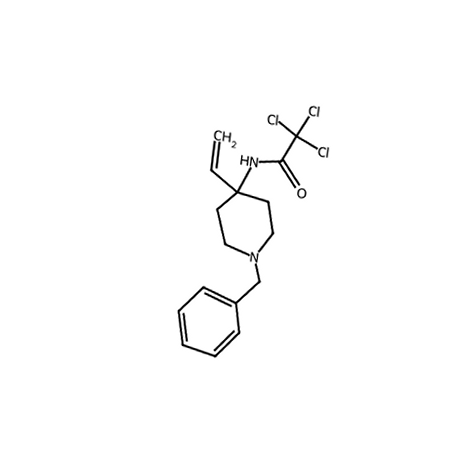 C=CC1(NC(=O)C(Cl)(Cl)Cl)CCN(Cc2ccccc2)CC1